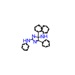 c1ccc(NC2=NC(Nc3ccccc3)(c3ccccc3)C(c3ccccc3)=N2)cc1